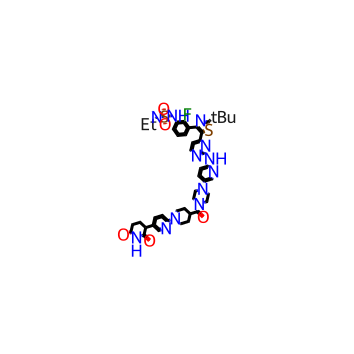 CCN(C)S(=O)(=O)Nc1cccc(-c2nc(C(C)(C)C)sc2-c2ccnc(Nc3ccc(N4CCN(C(=O)C5CCN(c6ccc(C7CCC(=O)NC7=O)cn6)CC5)CC4)cn3)n2)c1F